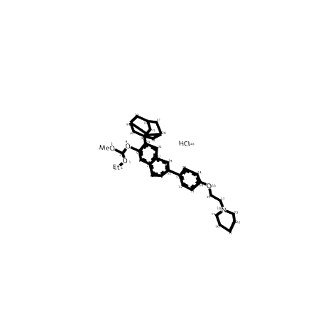 CCOC(OC)Oc1cc2ccc(-c3ccc(OCCN4CCCCC4)cc3)cc2cc1C12CC3CC(CC(C3)C1)C2.Cl